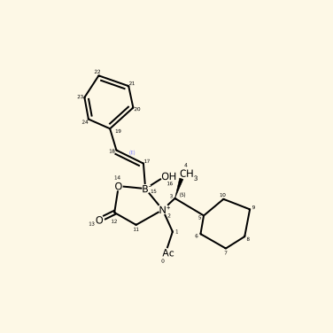 CC(=O)C[N+]1([C@@H](C)C2CCCCC2)CC(=O)O[B-]1(O)/C=C/c1ccccc1